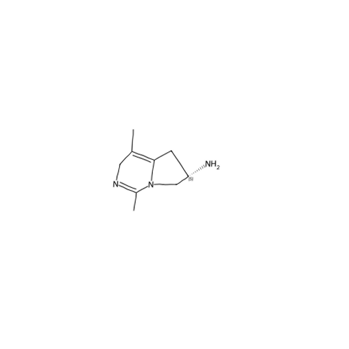 CC1=NCC(C)=C2C[C@H](N)CN12